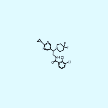 O=C(NCC(c1cnc(C2CC2)nc1)N1CCC(F)(F)CC1)c1cccc(Cl)c1Cl